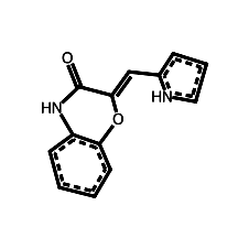 O=C1Nc2ccccc2O/C1=C\c1ccc[nH]1